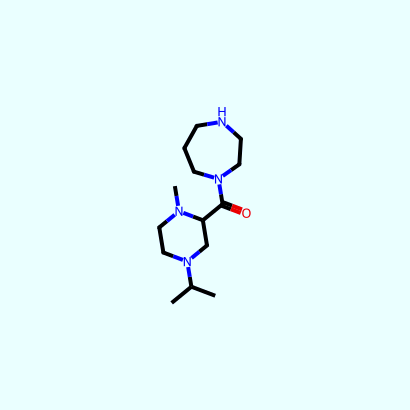 CC(C)N1CCN(C)C(C(=O)N2CCCNCC2)C1